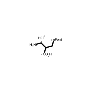 CCCCCCC(CN)C(=O)O.Cl